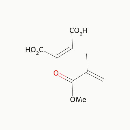 C=C(C)C(=O)OC.O=C(O)/C=C\C(=O)O